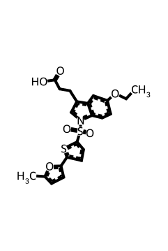 CCOc1ccc2c(c1)c(CCC(=O)O)cn2S(=O)(=O)c1ccc(-c2ccc(C)o2)s1